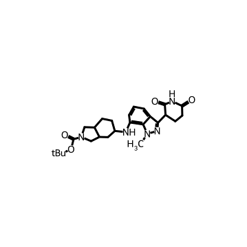 Cn1nc(C2CCC(=O)NC2=O)c2cccc(NC3CCC4CN(C(=O)OC(C)(C)C)CC4C3)c21